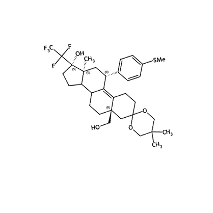 CSc1ccc([C@H]2C[C@@]3(C)C(CC[C@@]3(O)C(F)(F)C(F)(F)F)C3CC[C@@]4(CO)CC5(CCC4=C32)OCC(C)(C)CO5)cc1